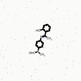 C/C(=N\c1ccc(N(C)C=O)cc1)c1ccccc1O